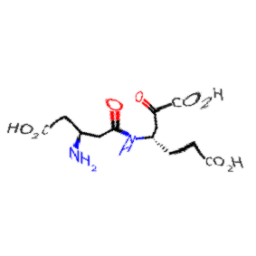 N[C@@H](CC(=O)O)C(=O)N[C@@H](CCC(=O)O)C(=O)C(=O)O